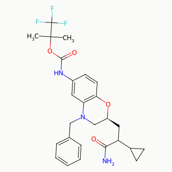 CC(C)(OC(=O)Nc1ccc2c(c1)N(Cc1ccccc1)C[C@H](CC(C(N)=O)C1CC1)O2)C(F)(F)F